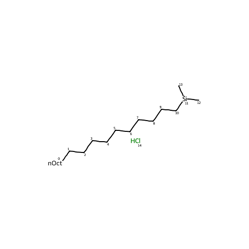 CCCCCCCCCCCCCCCCCC[Si](C)C.Cl